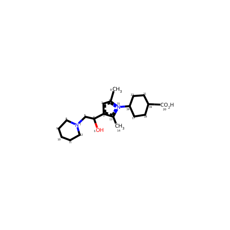 Cc1cc(C(O)CN2CCCCC2)c(C)n1C1CCC(C(=O)O)CC1